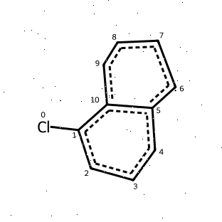 Clc1cccc2[c]cccc12